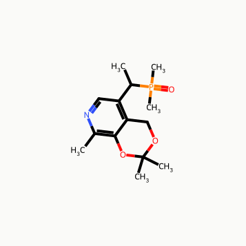 Cc1ncc(C(C)P(C)(C)=O)c2c1OC(C)(C)OC2